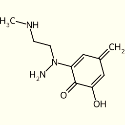 C=C1C=C(O)C(=O)C(N(N)CCNC)=C1